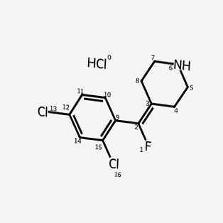 Cl.FC(=C1CCNCC1)c1ccc(Cl)cc1Cl